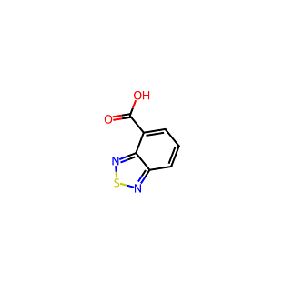 O=C(O)c1cccc2nsnc12